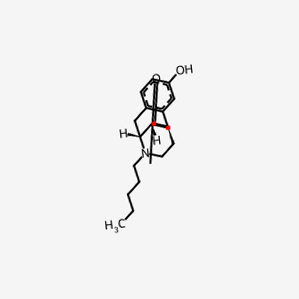 CCCCCN1CC[C@]23CCC(=O)C[C@H]2[C@H]1Cc1ccc(O)cc13